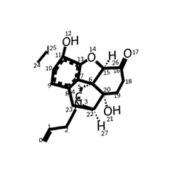 C=CCN1CC[C@]23c4c5ccc(O)c4O[C@H]2C(=O)CC[C@@]3(O)[C@H]1C5.CI